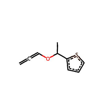 C=C=COC(C)c1cccs1